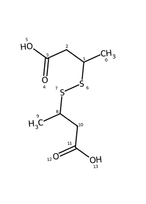 CC(CC(=O)O)SSC(C)CC(=O)O